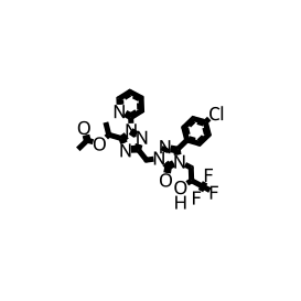 CC(=O)OC(C)c1nc(Cn2nc(-c3ccc(Cl)cc3)n(CC(O)C(F)(F)F)c2=O)nn1-c1ccccn1